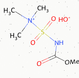 COC(=O)NS(=O)(=O)[N+](C)(C)C.[OH-]